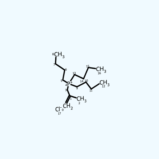 C=C(C)C[P+](CCCC)(CCCC)CCCC.[Cl-]